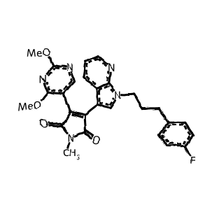 COc1ncc(C2=C(c3cn(CCCc4ccc(F)cc4)c4ncccc34)C(=O)N(C)C2=O)c(OC)n1